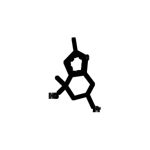 Cc1cc2c(o1)CC(C(C)C)CC2(C)O